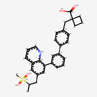 CC(Cc1cc(-c2cccc(-c3ccc(CC4(C(=O)O)CCC4)cc3)c2)c2ncccc2c1)S(C)(=O)=O